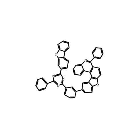 c1ccc(-c2nc(-c3cccc(-c4ccc5sc6ccc7c(-c8ccccc8)nc8ccccc8c7c6c5c4)c3)nc(-c3ccc4c(c3)oc3ccccc34)n2)cc1